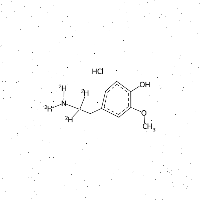 Cl.[2H]N([2H])C([2H])([2H])Cc1ccc(O)c(OC)c1